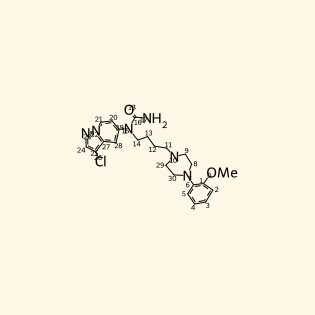 COc1ccccc1N1CCN(CCCCN(C(N)=O)c2ccn3ncc(Cl)c3c2)CC1